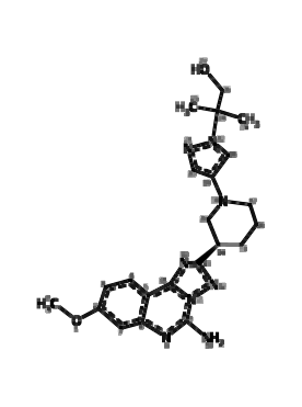 COc1ccc2c(c1)nc(N)n1nc([C@@H]3CCCN(c4cnn(C(C)(C)CO)c4)C3)nc21